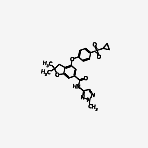 Cn1ncc(NC(=O)c2cc(Oc3ccc(S(=O)(=O)C4CC4)cc3)c3c(c2)OC(C)(C)C3)n1